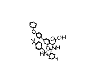 CC(C)(C)c1ccc(CNc2ccc(I)cc2C(=O)NC(CC(=O)O)c2ccc(-c3ccc(Oc4ccccc4)cc3)cc2)cc1